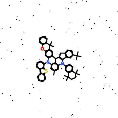 Cc1cc2c3c(c1)N(c1cccc4c1sc1ccccc14)c1cc4c(cc1C3C1=C(c3cc(C(C)(C)C)ccc3C1)N2c1ccc2c(c1)C(C)(C)CCC2(C)C)C(C)(C)c1ccccc1O4